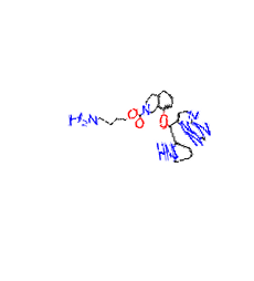 NCCCCOC(=O)N1CCc2cccc(O[C@@H](c3ccnc4ncnn34)C3CCCN3)c2C1